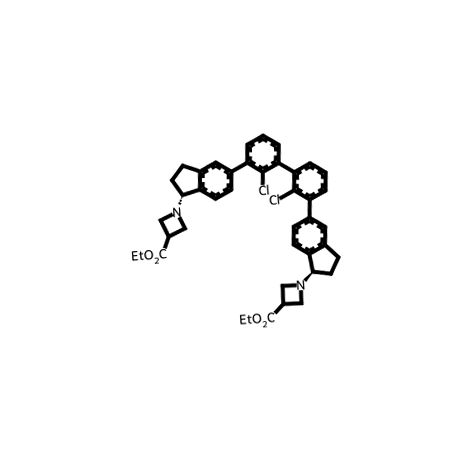 CCOC(=O)C1CN([C@@H]2CCc3cc(-c4cccc(-c5cccc(-c6ccc7c(c6)CC[C@H]7N6CC(C(=O)OCC)C6)c5Cl)c4Cl)ccc32)C1